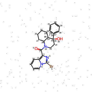 O=C(c1nc(Br)n2ccccc12)N1CC[C@@](O)(c2ccccc2)[C@@H]2CCCCC21